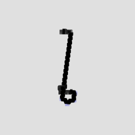 CCCCC/C=C\C/C=C\C/C=C\C/C=C\CCCC(=O)OCCCCCCCCCCCCCCCCCCCCCCCCCCCCCCCCCC